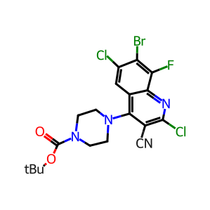 CC(C)(C)OC(=O)N1CCN(c2c(C#N)c(Cl)nc3c(F)c(Br)c(Cl)cc23)CC1